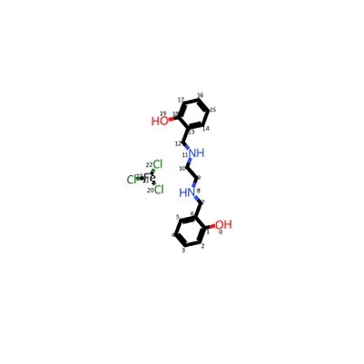 Oc1ccccc1CNCCNCc1ccccc1O.[Cl][Fe]([Cl])[Cl]